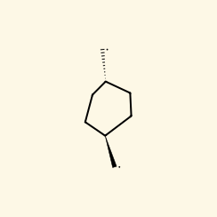 [CH2][C@H]1CC[C@H]([CH2])CC1